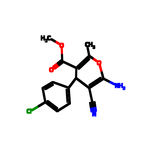 COC(=O)C1=C(C)OC(N)=C(C#N)C1c1ccc(Cl)cc1